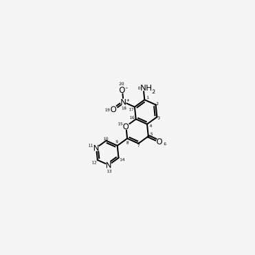 Nc1ccc2c(=O)cc(-c3cncnc3)oc2c1[N+](=O)[O-]